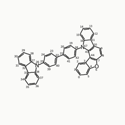 c1ccc2c(c1)oc1ccc3c4ccccc4n(-c4ccc(-c5ccc(-n6c7ccccc7c7ccccc76)cc5)cc4)c3c12